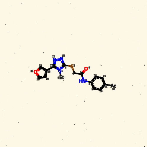 CCn1c(SCC(=O)Nc2ccc(C(C)=O)cc2)nnc1-c1ccoc1